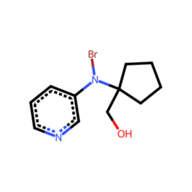 OCC1(N(Br)c2cccnc2)CCCC1